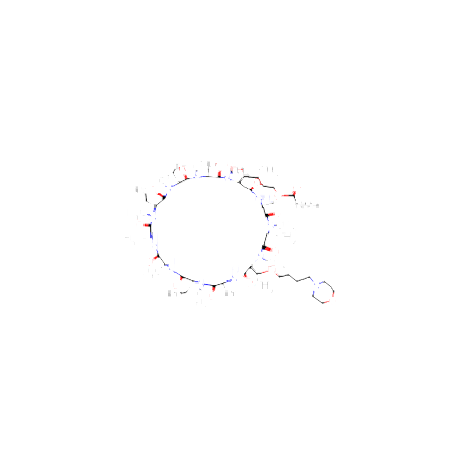 CC[C@@H]1NC(=O)[C@H]([C@H](O)[C@H](C)CCOC(=O)NC)N(C)C(=O)[C@H](C(C)C)N(C)C(=O)[C@H](CC(C)C)N(C)C(=O)[C@H](CC(C)C)N(C)C(=O)[C@@H](C)NC(=O)[C@H](C)NC(=O)[C@H](CC(C)C)N(C)C(=O)[C@H](C(C)C)NC(=O)[C@H]([C@@H](C)OCCCCN2CCOCC2)N(C)C(=O)[C@@H](C)N(C)C1=O